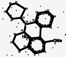 COc1cccc(O)c1-c1ccccc1P(C1CCCCC1)C1CCCCC1